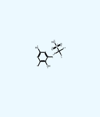 Cc1cc(S)cc(C)c1O.O=S(=O)(O)C(F)(F)F